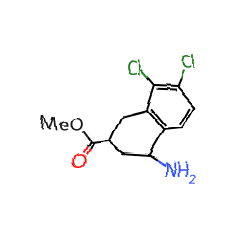 COC(=O)C1Cc2c(ccc(Cl)c2Cl)C(N)C1